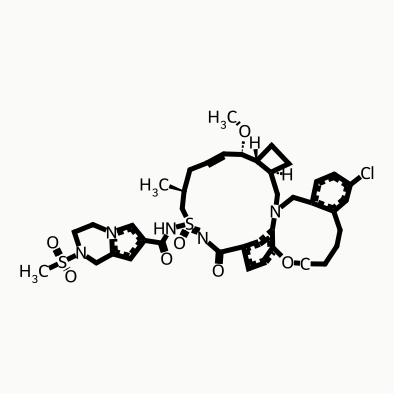 CO[C@H]1/C=C/C[C@H](C)CS(=O)(NC(=O)c2cc3n(c2)CCN(S(C)(=O)=O)C3)=NC(=O)c2ccc3c(c2)N(Cc2ccc(Cl)cc2CCCCO3)C[C@@H]2CC[C@H]21